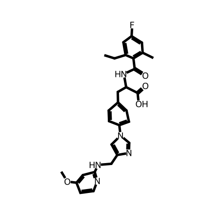 CCc1cc(F)cc(C)c1C(=O)NC(Cc1ccc(-n2cnc(CNc3cc(OC)ccn3)c2)cc1)C(=O)O